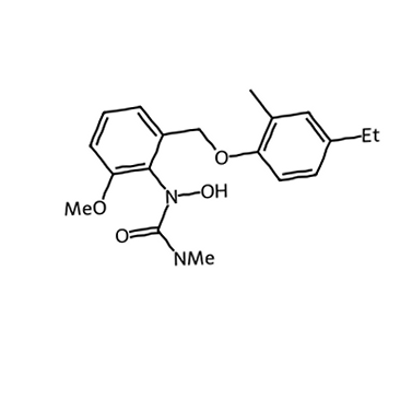 CCc1ccc(OCc2cccc(OC)c2N(O)C(=O)NC)c(C)c1